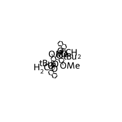 C=C1OP(Oc2c(-c3cc(OC)cc(C(C)(C)C)c3OP3OC(=C)c4ccc5ccccc5c4O3)cc(OC)cc2C(C)(C)C)Oc2c1ccc1ccccc21